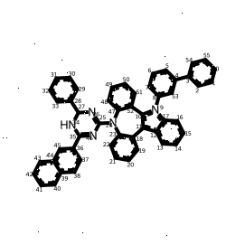 c1ccc(-c2cccc(-n3c4c(c5ccccc53)-c3ccccc3N(C3=NC(c5ccccc5)NC(c5ccc6ccccc6c5)=N3)c3ccccc3-4)c2)cc1